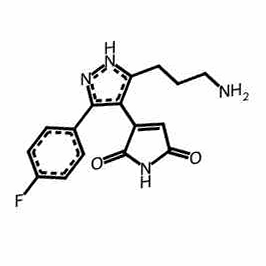 NCCCc1[nH]nc(-c2ccc(F)cc2)c1C1=CC(=O)NC1=O